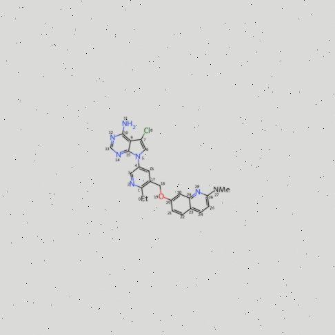 CCc1ncc(-n2cc(Cl)c3c(N)ncnc32)cc1COc1ccc2ccc(NC)nc2c1